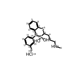 CNCCCC1Sc2ccccc2N(c2cccc(F)c2)S1(O)O.Cl